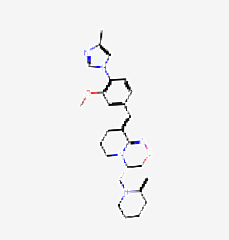 C=C1CCCCN1C[C@H]1CON=C2/C(=C/c3ccc(-n4cnc(C)c4)c(OC)c3)CCCN21